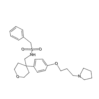 O=S(=O)(Cc1ccccc1)NCC1(c2ccc(OCCCN3CCCC3)cc2)CCOCC1